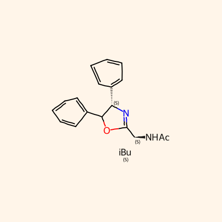 CC[C@H](C)[C@H](NC(C)=O)C1=N[C@@H](c2ccccc2)C(c2ccccc2)O1